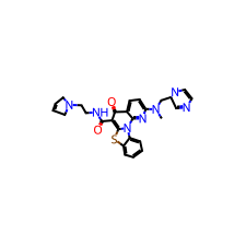 CN(Cc1cnccn1)c1ccc2c(=O)c(C(=O)NCCN3CC=CC3)c3sc4ccccc4n3c2n1